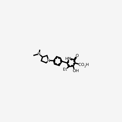 CCc1c(-c2ccc(N3CCC(N(C)C)C3)cc2)[nH]c(=O)c(C(=O)O)c1O